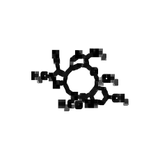 Cc1ccc2c(c1)[C@@H](C)Oc1cc(cnc1N)-c1c(nn(C)c1C#N)CN(C)S2(=N)=O